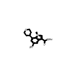 CNC(=O)c1cn(C)c2c(C3CCOCC3)cc(C(C)C)cc12